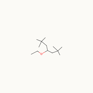 CCOC(CC(C)(C)C)CC(C)(C)C